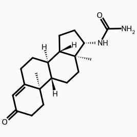 C[C@]12CC[C@H]3[C@@H](CCC4=CC(=O)CC[C@@]43C)[C@@H]1CC[C@@H]2NC(N)=O